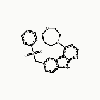 O=S(=O)(Cc1ccc2[nH]c3nccc(N4CCCOCC4)c3c2c1)c1ccccc1